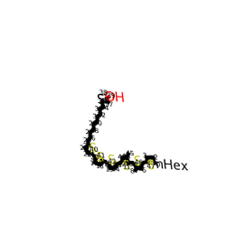 CCCCCCc1ccc(-c2cc(C)c(-c3sc(-c4ccc(-c5ccc(-c6ccc(CCCCCCCCCCC[Si](C)(C)O)s6)s5)s4)cc3C)s2)s1